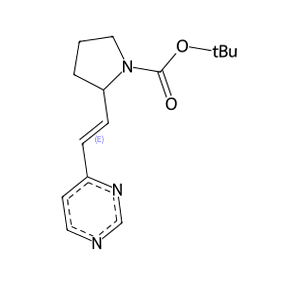 CC(C)(C)OC(=O)N1CCCC1/C=C/c1ccncn1